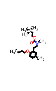 Bc1ccc(OCCCC)c(CCN(C)C(=O)OCC[Si](C)(C)C)c1